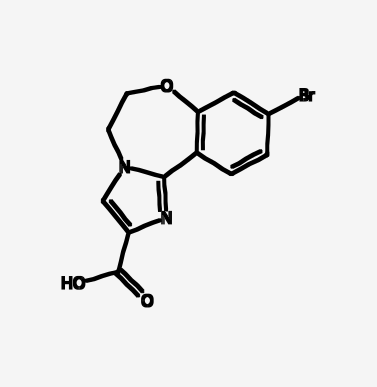 O=C(O)c1cn2c(n1)-c1ccc(Br)cc1OCC2